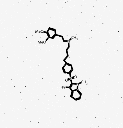 COc1ccc(CCN(C)CCCCc2ccc(S(=O)(=O)c3c(C(C)C)c4ccccc4n3C)cc2)cc1OC